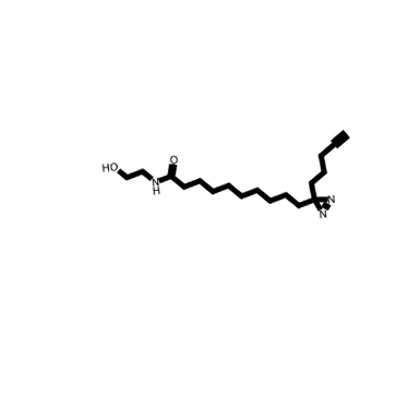 C#CCCCC1(CCCCCCCCCC(=O)NCCO)N=N1